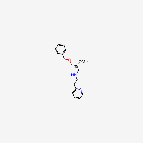 CO[C@H](CNCCc1ccccn1)COCc1ccccc1